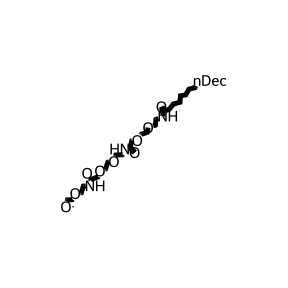 CCCCCCCCCCCCCCCCCC(=O)NCCOCCOCC(=O)NCCOCCOCC(=O)NCCOCC[O]